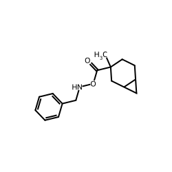 CC1(C(=O)ONCc2ccccc2)CCC2CC2C1